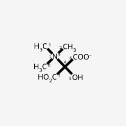 C[N+](C)(C)C(O)(C(=O)[O-])C(=O)O